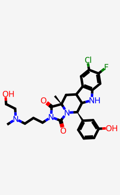 CN(CCO)CCCN1C(=O)N2[C@H](c3cccc(O)c3)C3Nc4cc(F)c(Cl)cc4C3C[C@@]2(C)C1=O